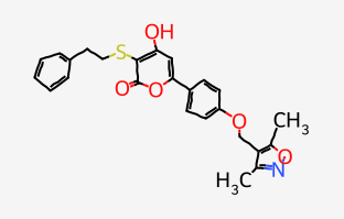 Cc1noc(C)c1COc1ccc(-c2cc(O)c(SCCc3ccccc3)c(=O)o2)cc1